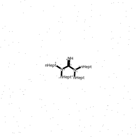 CCCCCCCN(CCCCCCC)C(=N)N(CCCCCCC)CCCCCCC